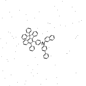 c1ccc(-c2ccc(N(c3ccc(-c4c5c(c6ccccc6c4-c4ccccc4)C(c4ccccc4)(c4ccccc4)c4ccccc4-5)cc3)c3ccc4ccccc4c3)cc2)cc1